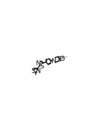 Cc1nc(-c2ncc(-c3ccc(N4CC[S+]([O-])CC4)cc3)s2)cs1